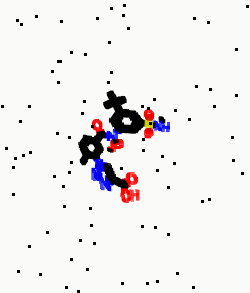 CNS(=O)(=O)c1cc(N(OC)C(=O)c2ccc(C)c(-n3cc(C(=O)O)nn3)c2)cc(C(C)(C)C)c1